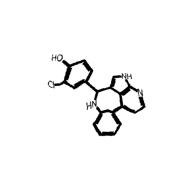 Oc1ccc(C2Nc3ccccc3-c3ccnc4[nH]cc2c34)cc1Cl